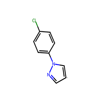 Clc1ccc(-n2c[c]cn2)cc1